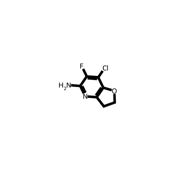 Nc1nc2c(c(Cl)c1F)OCC2